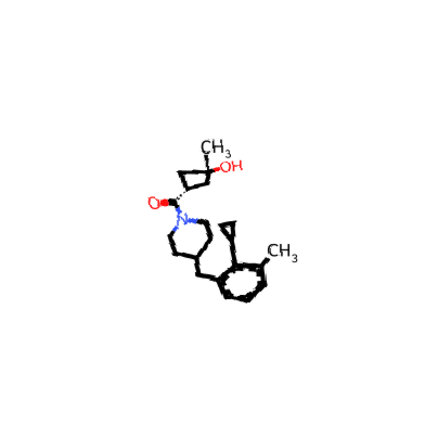 Cc1cccc(CC2CCN(C(=O)[C@H]3C[C@@](C)(O)C3)CC2)c1C1CC1